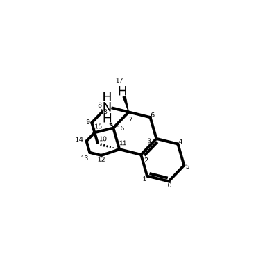 C1=CC2=C(CC1)C[C@H]1NCC[C@@]23CCCC[C@@H]13